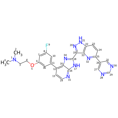 CN(C)CCOc1cc(F)cc(-c2ccnc3[nH]c(-c4n[nH]c5ccc(-c6cncnc6)nc45)nc23)c1